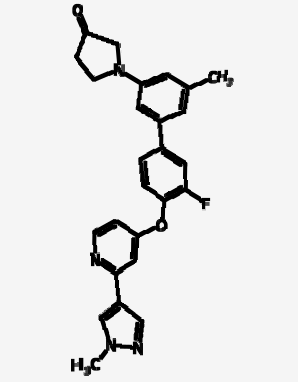 Cc1cc(-c2ccc(Oc3ccnc(-c4cnn(C)c4)c3)c(F)c2)cc(N2CCC(=O)C2)c1